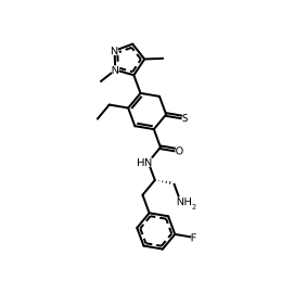 CCC1=C(c2c(C)cnn2C)CC(=S)C(C(=O)N[C@H](CN)Cc2cccc(F)c2)=C1